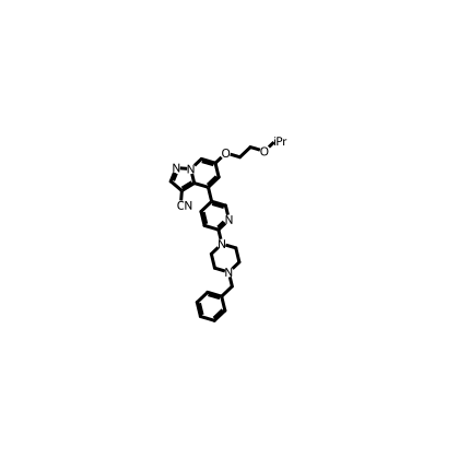 CC(C)OCCOc1cc(-c2ccc(N3CCN(Cc4ccccc4)CC3)nc2)c2c(C#N)cnn2c1